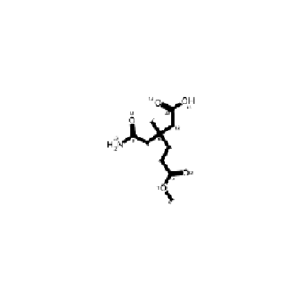 COC(=O)CCC(C)(CC(N)=O)CC(=O)O